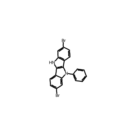 Brc1ccc2c(c1)[nH]c1c3ccc(Br)cc3n(-c3ccccc3)c21